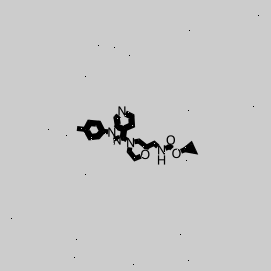 Cc1ccc(-n2nc(N3CCOC(CNC(=O)OC4CC4)C3)c3ccncc32)cc1